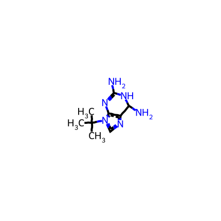 CC(C)(C)n1cnc2c1N=C(N)NC2N